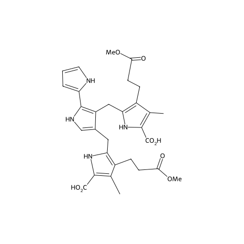 COC(=O)CCc1c(Cc2c[nH]c(-c3ccc[nH]3)c2Cc2[nH]c(C(=O)O)c(C)c2CCC(=O)OC)[nH]c(C(=O)O)c1C